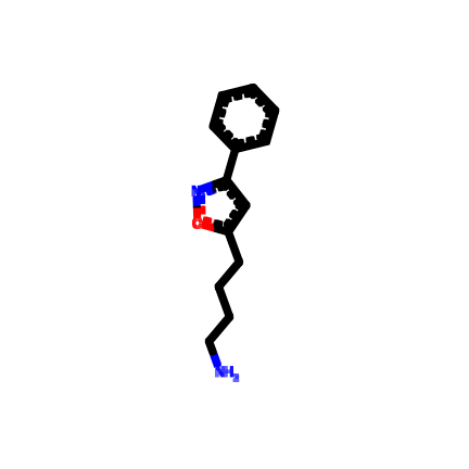 NCCCCc1cc(-c2ccccc2)no1